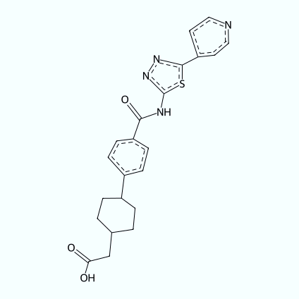 O=C(O)CC1CCC(c2ccc(C(=O)Nc3nnc(-c4ccncc4)s3)cc2)CC1